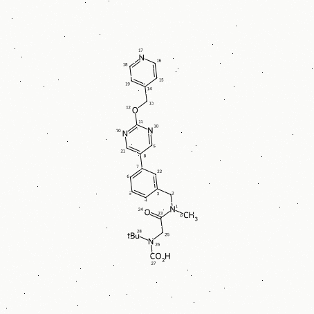 CN(Cc1cccc(-c2cnc(OCc3ccncc3)nc2)c1)C(=O)CN(C(=O)O)C(C)(C)C